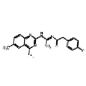 Cc1ccc2nc(N/C(N)=N/C(=O)Cc3ccc(Cl)cc3)nc(C)c2c1